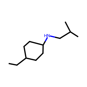 CCC1CCC(NCC(C)C)CC1